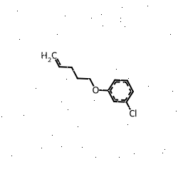 C=CCCCOc1cccc(Cl)c1